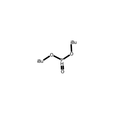 CCC(C)O[PH](=O)OC(C)CC